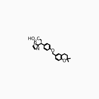 Cn1ccnc1[C@@H](CC(=O)O)c1ccc(OCc2ccc3c(c2)CCC(C)(C)O3)cc1